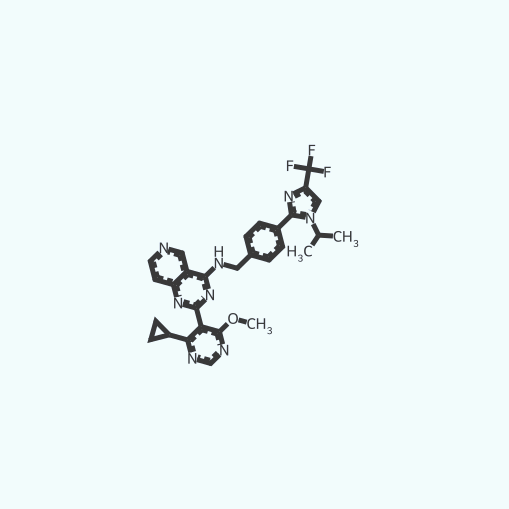 COc1ncnc(C2CC2)c1-c1nc(NCc2ccc(-c3nc(C(F)(F)F)cn3C(C)C)cc2)c2cnccc2n1